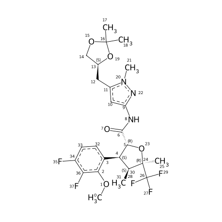 COc1c([C@H]2[C@H](C(=O)Nc3cc(C[C@H]4COC(C)(C)O4)n(C)n3)O[C@@](C)(C(F)(F)F)[C@H]2C)ccc(F)c1F